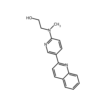 CN(CCO)c1ccc(-c2ccc3ccccc3n2)cn1